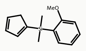 COc1ccccc1[Si](C)(C)C1=CC=CC1